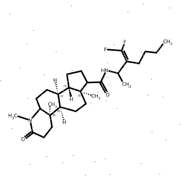 CCCCC(=C(F)F)C(C)NC(=O)C1CC[C@H]2[C@@H]3CCC4N(C)C(=O)CC[C@]4(C)[C@@H]3CC[C@]12C